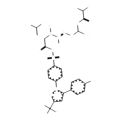 Cc1ccc(-c2cc(C(F)(F)F)nn2-c2ccc(S(=O)(=O)NC(=O)[C@H](CC(C)C)N(C)/[N+]([O-])=N/OC(C)OC(=O)C(C)C)cc2)cc1